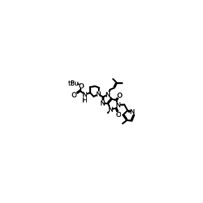 CC(C)=CCn1c(N2CCCC(NC(=O)OC(C)(C)C)C2)nc2c1c(=O)n(Cc1cc(C)ccn1)c(=O)n2C